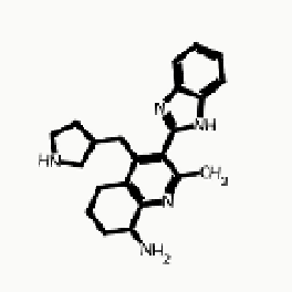 Cc1nc2c(c(CC3CCNC3)c1-c1nc3ccccc3[nH]1)CCCC2N